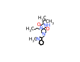 CCCCN1C(=O)C(CC(C)C)NC(=O)C12CCN(Cc1cn(C)c3ccccc13)CC2